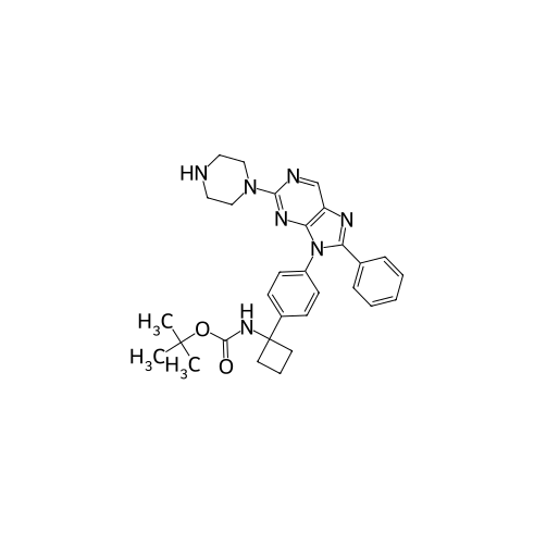 CC(C)(C)OC(=O)NC1(c2ccc(-n3c(-c4ccccc4)nc4cnc(N5CCNCC5)nc43)cc2)CCC1